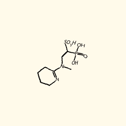 CN(CC(P(=O)(O)O)S(=O)(=O)O)C1=NCCCC1